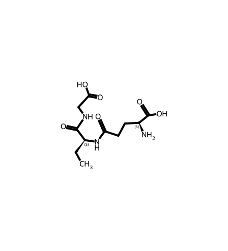 CC[C@H](NC(=O)CC[C@H](N)C(=O)O)C(=O)NCC(=O)O